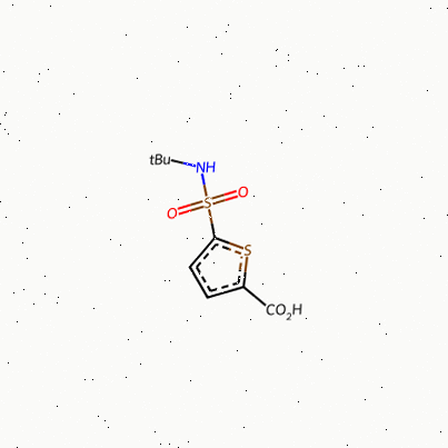 CC(C)(C)NS(=O)(=O)c1ccc(C(=O)O)s1